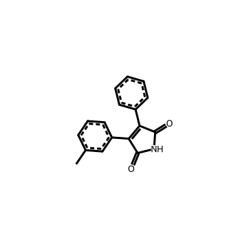 Cc1cccc(C2=C(c3ccccc3)C(=O)NC2=O)c1